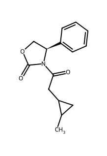 CC1CC1CC(=O)N1C(=O)OC[C@H]1c1ccccc1